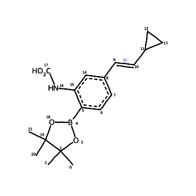 CC1(C)OB(c2ccc(/C=C/C3CC3)cc2NC(=O)O)OC1(C)C